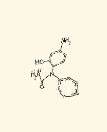 NC(=O)N(c1[c]cccc1)c1ccc(N)cc1O